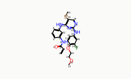 C=CC(=O)Nc1cccc(Nc2nc(Nc3ccc(OCCOC)c(F)c3)ncc2SC)c1